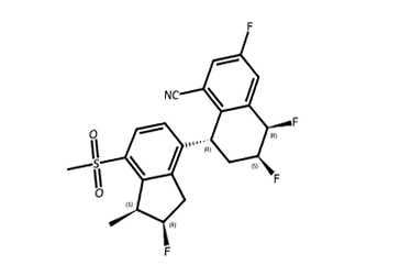 C[C@H]1c2c(S(C)(=O)=O)ccc([C@H]3C[C@H](F)[C@H](F)c4cc(F)cc(C#N)c43)c2C[C@H]1F